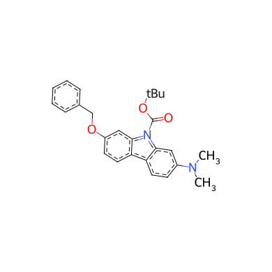 CN(C)c1ccc2c3ccc(OCc4ccccc4)cc3n(C(=O)OC(C)(C)C)c2c1